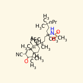 CCCC(C)(C)CC[C@@](C)(CCC(C)(C)[C@]1(C)CC[C@H]2C(C)(C)C(=O)C(C#N)=C[C@]2(C)[C@H]1CC(C)=O)NS(C)(=O)=O